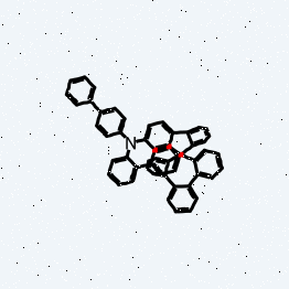 c1ccc(-c2ccc(N(c3ccc4c(c3)C3(c5ccccc5-c5ccccc5-c5ccccc53)c3ccccc3-4)c3ccccc3-c3ccccc3)cc2)cc1